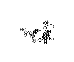 Cc1ncsc1-c1ccc(CNC(=O)[C@@H]2CCCN2C(=O)[C@@H](NC(=O)CCOCCCN2CCC[C@H]2COc2nc3c(c(N4CC5CCCC4CN5)n2)CCN(c2cc(O)cc4ccccc24)C3)C(C)(C)C)cc1